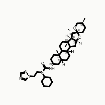 C[C@H]1CC[C@@]2(OC1)O[C@H]1CC3[C@@H]4CC[C@@H]5C[C@H](NC(=O)N(CCn6cncn6)C6CCCCC6)CC[C@]5(C)C4CC[C@]3(C)[C@H]1[C@@H]2C